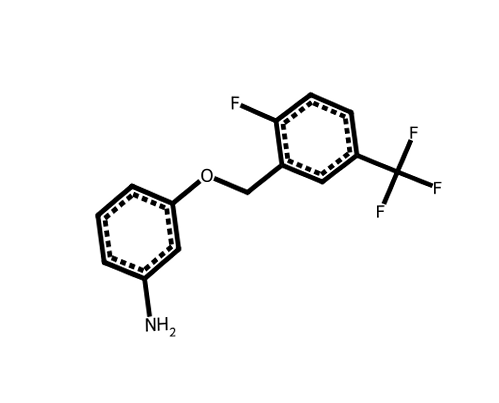 Nc1cccc(OCc2cc(C(F)(F)F)ccc2F)c1